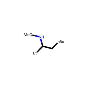 CCCCCC(CC)NOC